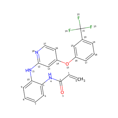 C=CC(=O)Nc1ccccc1Nc1cc(Oc2cccc(C(F)(F)F)c2)ccn1